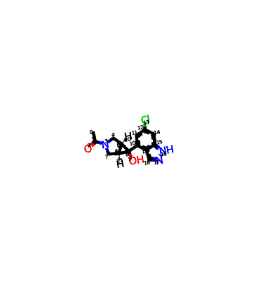 CC(=O)N1C[C@@H]2[C@H](C1)C2(O)c1cc(Cl)cc2[nH]ncc12